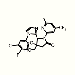 Cc1cc(C(F)(F)F)cc(N2C(=O)C[C@](O)(CO)[C@H]2c2nccn2-c2ccc(F)c(Cl)c2)n1